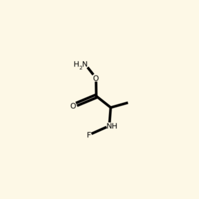 CC(NF)C(=O)ON